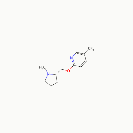 CN1CCC[C@H]1COc1ccc(C(F)(F)F)cn1